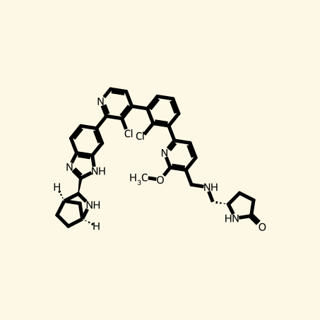 COc1nc(-c2cccc(-c3ccnc(-c4ccc5nc([C@H]6N[C@H]7CC[C@@H]6C7)[nH]c5c4)c3Cl)c2Cl)ccc1CNC[C@@H]1CCC(=O)N1